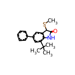 CSC1C(=O)Nc2c1cc(-c1ccccc1)cc2C(C)(C)C